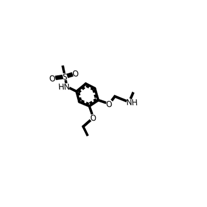 CCOc1cc(NS(C)(=O)=O)ccc1OCNC